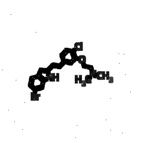 CN(C)CCOc1cc(C=Cc2cc3ccc(Br)cc3[nH]2)ccc1Cl